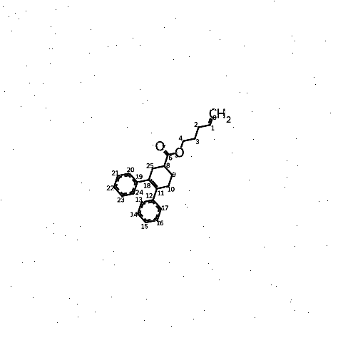 C=CCCCOC(=O)C1CCC(c2ccccc2)=C(c2ccccc2)C1